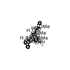 CC[C@H](C)[C@@H]([C@@H](CC(=O)N1CCC[C@H]1[C@H](OC)[C@@H](C)C(=S)N[C@@H](Cc1ccccc1)C(=O)OC)OC)N(C)C(=O)[C@@H](NC(=O)[C@H](C(C)C)N(C)C(=O)OCC1c2ccccc2-c2ccccc21)C(C)C